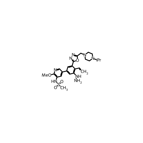 C=Cc1c(NN)cc(-c2cnc(OC)c(NS(C)(=O)=O)c2)cc1-c1nnc(CN2CCN(C(C)C)CC2)o1